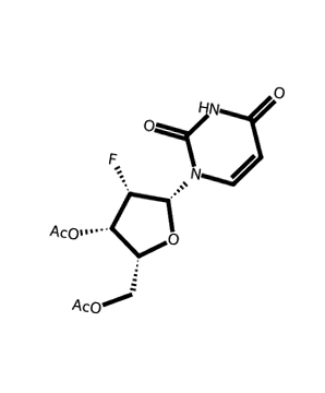 CC(=O)OC[C@H]1O[C@@H](n2ccc(=O)[nH]c2=O)[C@@H](F)[C@H]1OC(C)=O